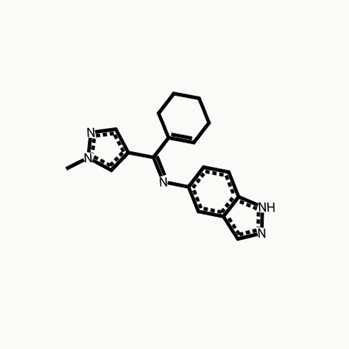 Cn1cc(/C(=N/c2ccc3[nH]ncc3c2)C2=CCCCC2)cn1